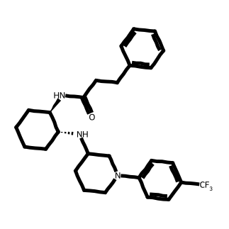 O=C(CCc1ccccc1)N[C@@H]1CCCC[C@H]1NC1CCCN(c2ccc(C(F)(F)F)cc2)C1